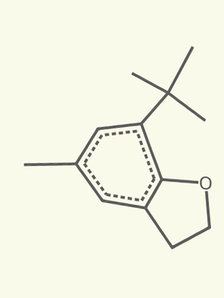 Cc1cc2c(c(C(C)(C)C)c1)OCC2